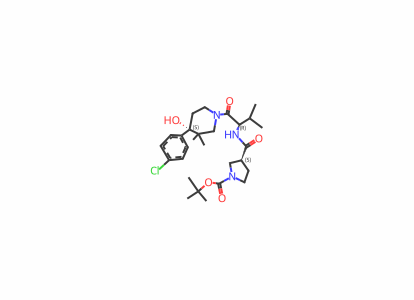 CC(C)[C@@H](NC(=O)[C@H]1CCN(C(=O)OC(C)(C)C)C1)C(=O)N1CC[C@](O)(c2ccc(Cl)cc2)C(C)(C)C1